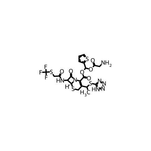 CC(Sc1nnn[nH]1)C1=C(C(=O)OC(OC(=O)CN)c2cccs2)N2C(=O)C(NC(=O)CSC(F)(F)F)[C@@H]2SC1